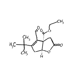 CCOC(=O)[C@]12CC(=O)O[C@H]1CC(C(C)(C)C)=C2C=O